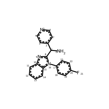 NC(c1ccncc1)c1nc2ccccc2n1-c1ccc(F)cc1